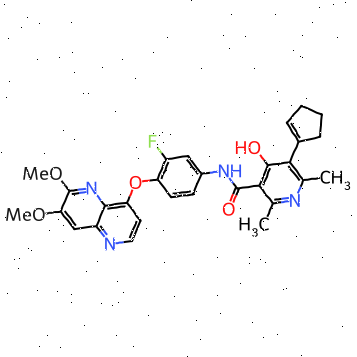 COc1cc2nccc(Oc3ccc(NC(=O)c4c(C)nc(C)c(C5=CCCC5)c4O)cc3F)c2nc1OC